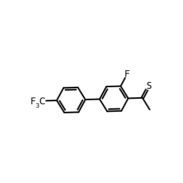 CC(=S)c1ccc(-c2ccc(C(F)(F)F)cc2)cc1F